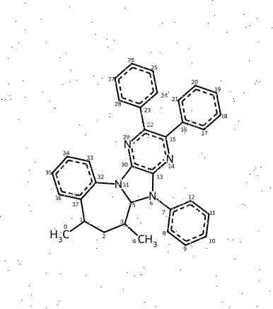 CC1CC(C)C2N(c3ccccc3)c3nc(-c4ccccc4)c(-c4ccccc4)nc3N2c2ccccc21